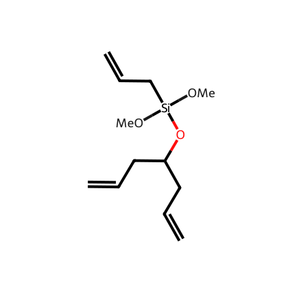 C=CCC(CC=C)O[Si](CC=C)(OC)OC